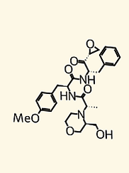 COc1ccc(C[C@H](NC(=O)[C@H](C)N2CCOC[C@@H]2CO)C(=O)N[C@@H](Cc2ccccc2)C(=O)[C@H]2CO2)cc1